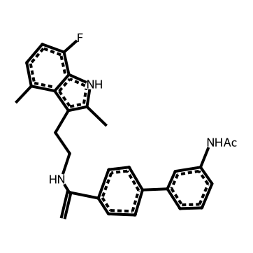 C=C(NCCc1c(C)[nH]c2c(F)ccc(C)c12)c1ccc(-c2cccc(NC(C)=O)c2)cc1